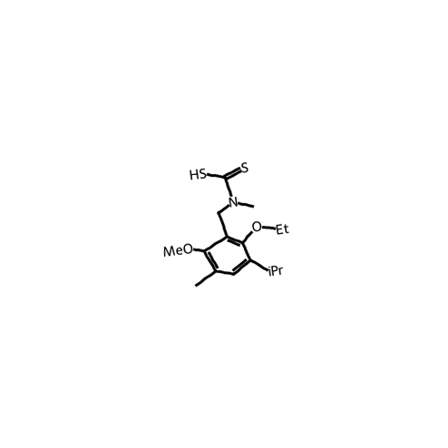 CCOc1c(C(C)C)cc(C)c(OC)c1CN(C)C(=S)S